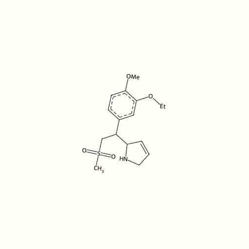 CCOc1cc(C(CS(C)(=O)=O)C2C=CCN2)ccc1OC